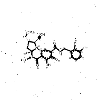 C#C[C@H]1[C@@H](COC)C[C@H]2N(C)C(=O)c3c(O)c(=O)c(C(=O)NCc4cccc(Cl)c4F)cn3N12